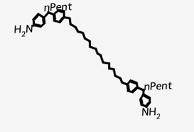 CCCCCC(c1ccc(N)cc1)c1ccc(CCCCCCCCCCCCCCCCCCc2ccc(C(CCCCC)c3ccc(N)cc3)cc2)cc1